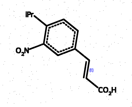 CC(C)c1ccc(/C=C/C(=O)O)cc1[N+](=O)[O-]